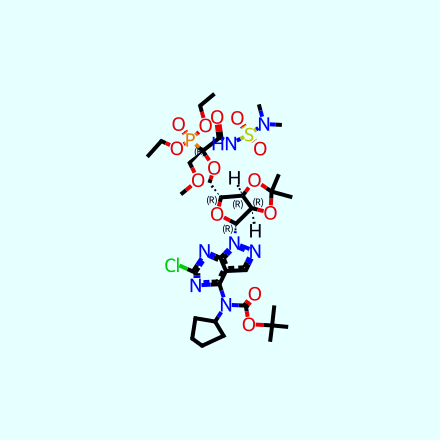 CCOP(=O)(OCC)[C@@](COC)(OC[C@H]1O[C@@H](n2ncc3c(N(C(=O)OC(C)(C)C)C4CCCC4)nc(Cl)nc32)[C@@H]2OC(C)(C)O[C@@H]21)C(=O)NS(=O)(=O)N(C)C